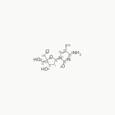 Nc1nc(=O)n([C@H]2C[C@H](O)[C@](CO)(CCl)O2)cc1F